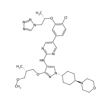 COC[C@H](C)COc1nn([C@H]2CC[C@H](N3CCOCC3)CC2)cc1Nc1ncc(-c2ccc(Cl)c(O[C@@H](C)Cn3cnnn3)c2)cn1